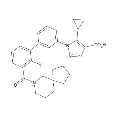 O=C(O)c1cnn(-c2cccc(-c3cccc(C(=O)N4CCCC5(CCCC5)C4)c3F)c2)c1C1CC1